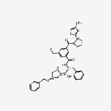 Cc1csc([C@H]2CCCN2C(=O)c2cc(CF)cc(C(=O)N[C@H](Cc3ccccc3)[C@H](O)[C@H]3C[C@@H](OCc4ccccc4)CN3)c2)n1